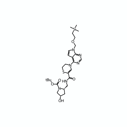 CC(C)(C)OC(=O)N1C[C@H](O)C[C@@H]1CNC(=O)C1=CN(c2ncnc3c2ccn3COCC[Si](C)(C)C)CCS1